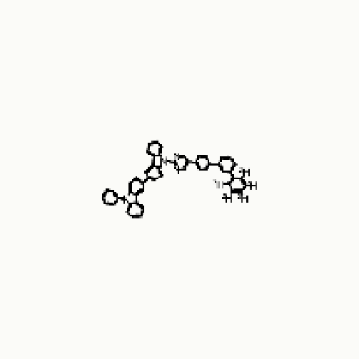 [2H]c1c([2H])c([2H])c(-c2cccc(-c3ccc(-c4cnc(-n5c6ccccc6c6cc(-c7ccc8c(c7)c7ccccc7n8-c7ccccc7)ccc65)nc4)cc3)c2)c([2H])c1[2H]